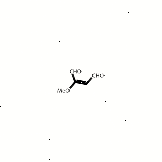 CO/C([C]=O)=C/[C]=O